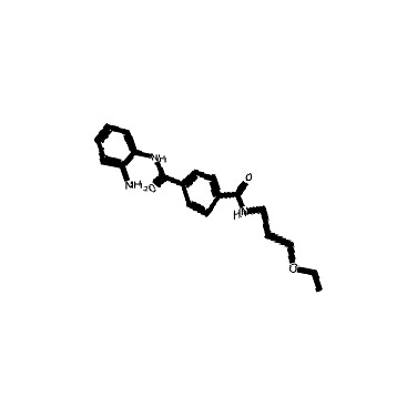 CCOCCCNC(=O)c1ccc(C(=O)Nc2ccccc2N)cc1